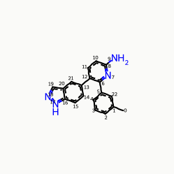 Cc1cccc(-c2nc(N)ccc2-c2ccc3[nH]ncc3c2)c1